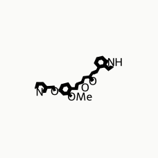 COc1cc(OCc2cccnc2)ccc1/C=C/C(=O)CC(=O)/C=C/c1cccc2[nH]ccc12